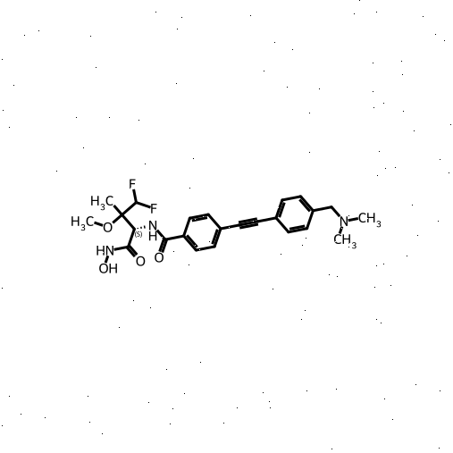 COC(C)(C(F)F)[C@H](NC(=O)c1ccc(C#Cc2ccc(CN(C)C)cc2)cc1)C(=O)NO